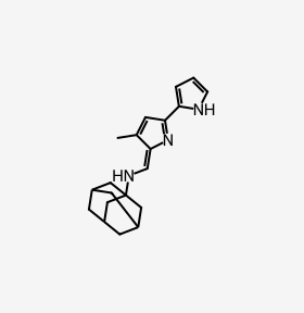 CC1=CC(c2ccc[nH]2)=N/C1=C/NC12CC3CC(CC(C3)C1)C2